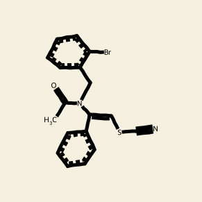 CC(=O)N(Cc1ccccc1Br)C(=CSC#N)c1ccccc1